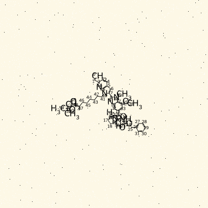 C=Cc1ccc2cc(-c3nc4cc(C(=O)N5[C@H]6CC[C@@H]5[C@H](NC(=O)OCc5ccccc5)C6)cc(OC)c4n3C)n(CCCCCCCC(=O)OC(C)(C)C)c2n1